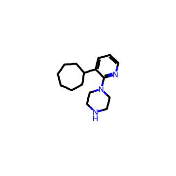 c1cnc(N2CCNCC2)c(C2CCCCCC2)c1